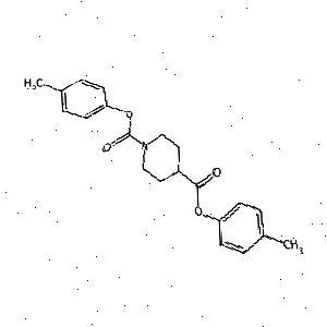 Cc1ccc(OC(=O)C2CCN(C(=O)Oc3ccc(C)cc3)CC2)cc1